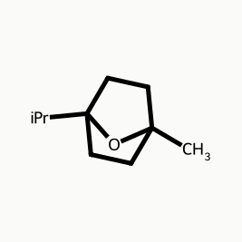 CC(C)C12CCC(C)(CC1)O2